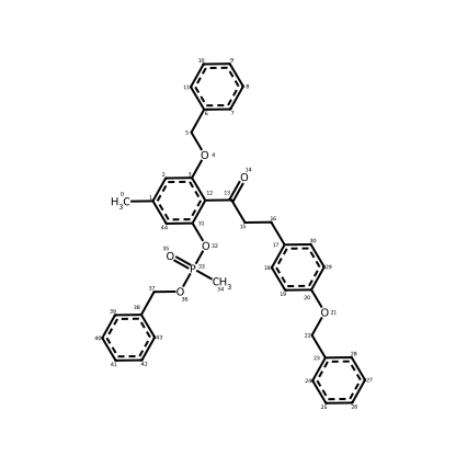 Cc1cc(OCc2ccccc2)c(C(=O)CCc2ccc(OCc3ccccc3)cc2)c(OP(C)(=O)OCc2ccccc2)c1